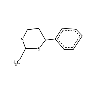 CC1SCCC(c2ccccc2)S1